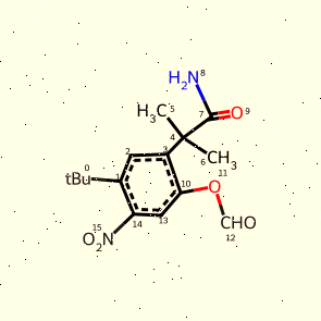 CC(C)(C)c1cc(C(C)(C)C(N)=O)c(OC=O)cc1[N+](=O)[O-]